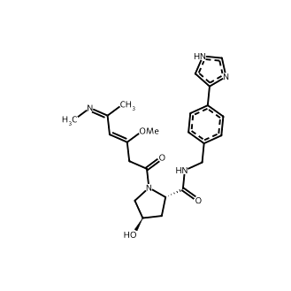 C/N=C(C)\C=C(\CC(=O)N1C[C@H](O)C[C@H]1C(=O)NCc1ccc(-c2c[nH]cn2)cc1)OC